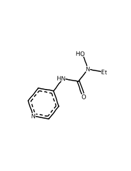 CCN(O)C(=O)Nc1ccncc1